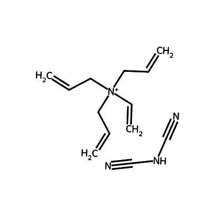 C=CC[N+](C=C)(CC=C)CC=C.N#CNC#N